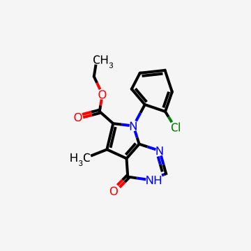 CCOC(=O)c1c(C)c2c(=O)[nH]cnc2n1-c1ccccc1Cl